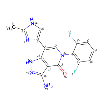 Cc1nc(-c2cn(-c3c(F)cccc3F)c(=O)c3c(N)n[nH]c23)c[nH]1